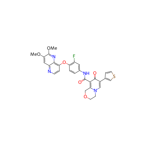 COc1cc2nccc(Oc3ccc(NC(=O)c4c5n(cc(-c6ccsc6)c4=O)CCOC5)cc3F)c2nc1OC